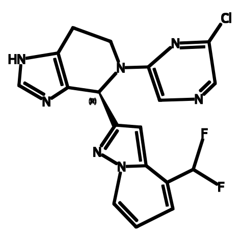 FC(F)c1cccn2nc([C@H]3c4nc[nH]c4CCN3c3cncc(Cl)n3)cc12